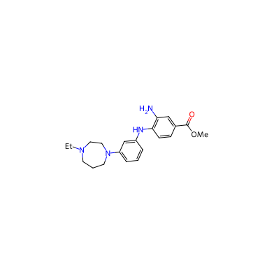 CCN1CCCN(c2cccc(Nc3ccc(C(=O)OC)cc3N)c2)CC1